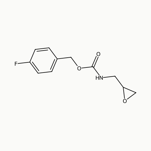 O=C(NCC1CO1)OCc1ccc(F)cc1